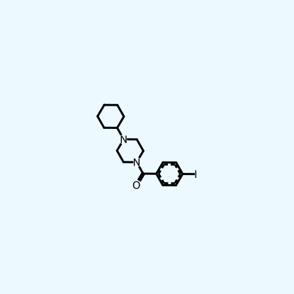 O=C(c1ccc(I)cc1)N1CCN(C2CCCCC2)CC1